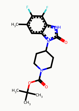 Cc1cc2c([nH]c(=O)n2C2CCN(C(=O)OC(C)(C)C)CC2)c(F)c1F